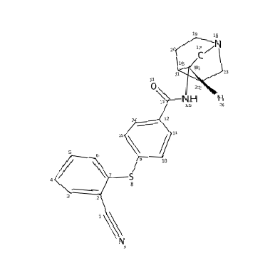 N#Cc1ccccc1Sc1ccc(C(=O)N[C@H]2CN3CCC2CC3)cc1